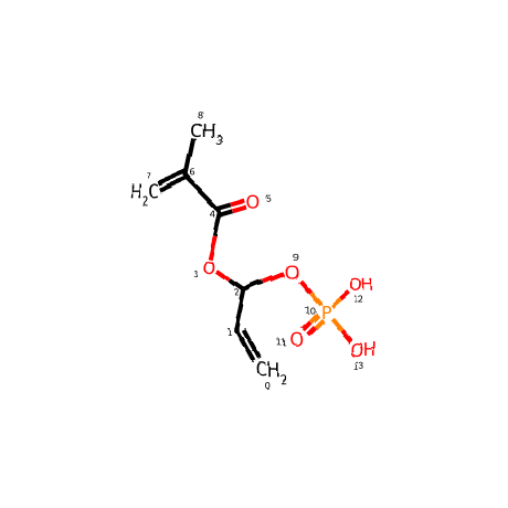 C=CC(OC(=O)C(=C)C)OP(=O)(O)O